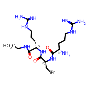 CC(C)C[C@H](NC(=O)[C@@H](N)CCCNC(=N)N)C(=O)N[C@@H](CCCNC(=N)N)C(=O)NCC(=O)O